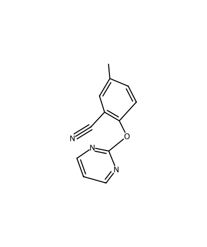 Cc1ccc(Oc2ncccn2)c(C#N)c1